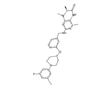 Cc1nc(NCc2cccc(OC3CCN(c4cc(F)cc(F)c4)CC3)c2)nc2c1NC(=O)[C@H](C)N2C